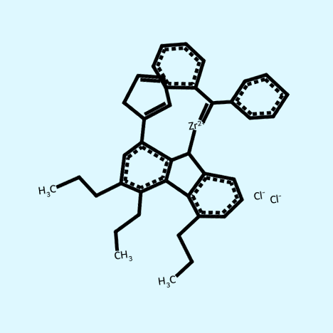 CCCc1cc(C2=CC=CC2)c2c(c1CCC)-c1c(CCC)cccc1[CH]2[Zr+2]=[C](c1ccccc1)c1ccccc1.[Cl-].[Cl-]